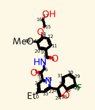 CCc1cc(C(=O)CNC(=O)c2ccc(OCCO)c(OC)c2)nc(-c2coc3c(F)cccc23)c1